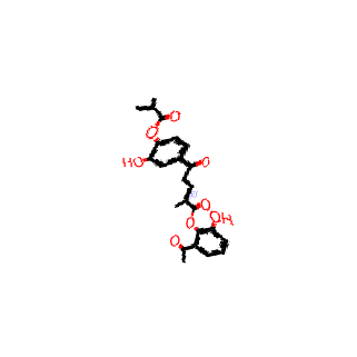 C=C(C)C(=O)Oc1ccc(C(=O)C/C=C(\C)C(=O)Oc2c(O)cccc2C(C)=O)cc1O